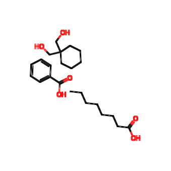 CCCCCCCC(=O)O.O=C(O)c1ccccc1.OCC1(CO)CCCCC1